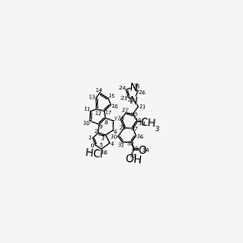 C1=CC2=C(CC1)CCc1c2ccc2ccccc12.Cc1c(Cn2ccnc2)ccc2ccc(C(=O)O)cc12.Cl